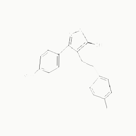 COc1ccc(-c2n[nH]c(O)c2CCc2ccc(F)cc2)cc1